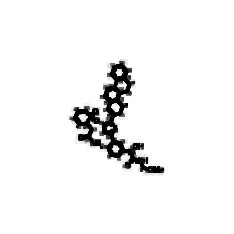 COCNC(=O)N(O)c1cccc(-c2ccc(C3=Cc4ccc5c(c4CC3)CCc3ccccc3-5)s2)c1.NC(=O)CC1C=CC=CS1(=O)=O